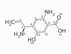 C=C[C@H](N)c1cc(N)c(C(=O)O)cc1O